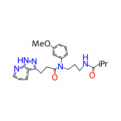 COc1cccc(N(CCCNC(=O)C(C)C)C(=O)CCc2n[nH]c3ncccc23)c1